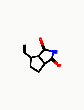 C=CC1CCC2C(=O)NC(=O)C12